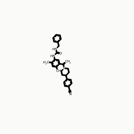 C=C(c1cc(NC(=O)NCc2ccccc2)c(C)cc1C)N1CCC(c2ccc(C#N)cc2)CC1